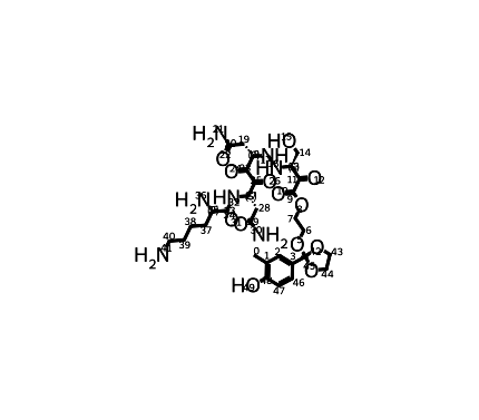 Cc1cc(C2(OCCOC(=O)C(=O)[C@H](CO)NN[C@@H](CC(N)=O)C(=O)C(=O)[C@H](CC(N)=O)NC(=O)[C@@H](N)CCCCN)OCCO2)ccc1O